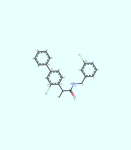 CC(C(=O)NCc1cccc(F)c1)c1ccc(-c2ccccc2)cc1F